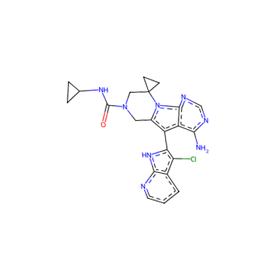 Nc1ncnc2c1c(-c1[nH]c3ncccc3c1Cl)c1n2C2(CC2)CN(C(=O)NC2CC2)C1